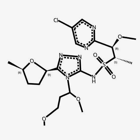 COCCC(OC)n1c(NS(=O)(=O)[C@@H](C)[C@H](OC)c2ncc(Cl)cn2)nnc1[C@H]1CC[C@@H](C)O1